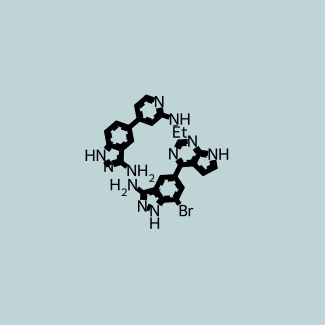 CCNc1cc(-c2ccc3[nH]nc(N)c3c2)ccn1.Nc1n[nH]c2c(Br)cc(-c3ncnc4[nH]ccc34)cc12